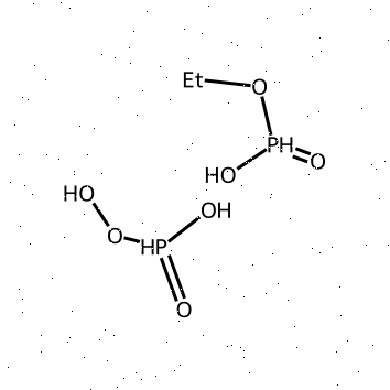 CCO[PH](=O)O.O=[PH](O)OO